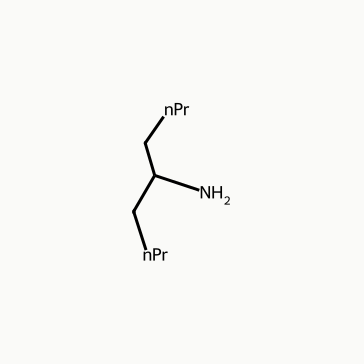 CCCCC(N)CCCC